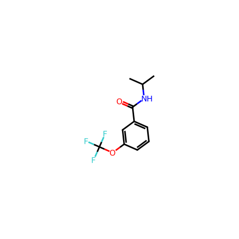 CC(C)NC(=O)c1cccc(OC(F)(F)F)c1